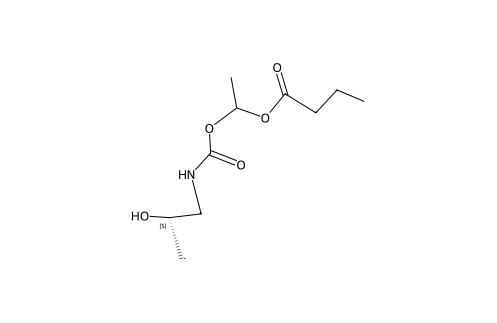 [CH2][C@H](O)CNC(=O)OC(C)OC(=O)CCC